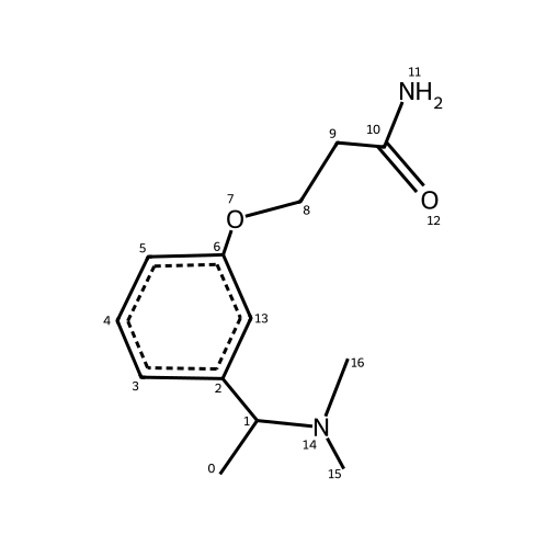 CC(c1cccc(OCCC(N)=O)c1)N(C)C